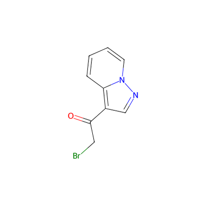 O=C(CBr)c1cnn2ccccc12